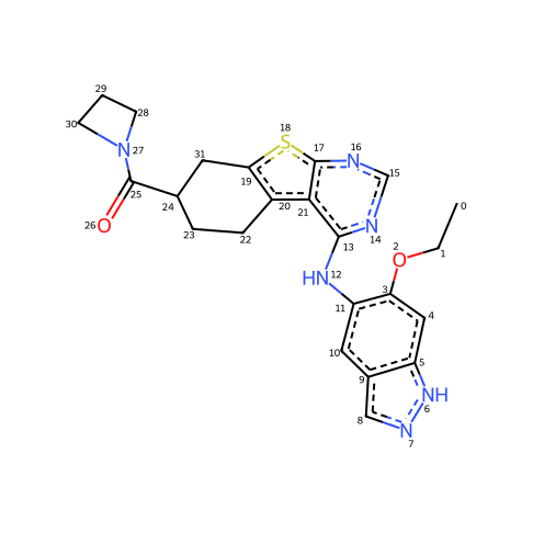 CCOc1cc2[nH]ncc2cc1Nc1ncnc2sc3c(c12)CCC(C(=O)N1CCC1)C3